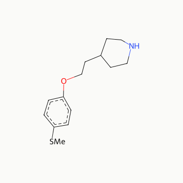 CSc1ccc(OCCC2CCNCC2)cc1